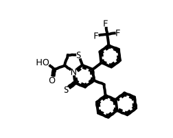 O=C(O)C1CSc2c(-c3cccc(C(F)(F)F)c3)c(Cc3cccc4ccccc34)cc(=S)n21